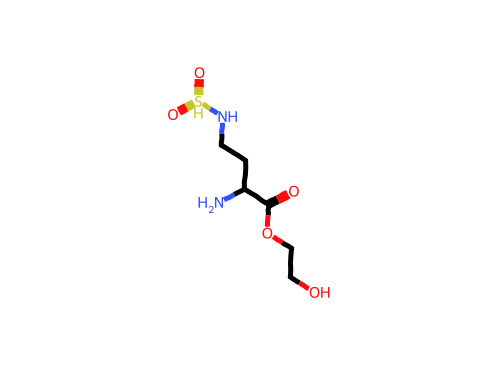 NC(CCN[SH](=O)=O)C(=O)OCCO